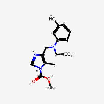 Cc1c(CN(CC(=O)O)c2cccc(C#N)c2)ncn1C(=O)OC(C)(C)C